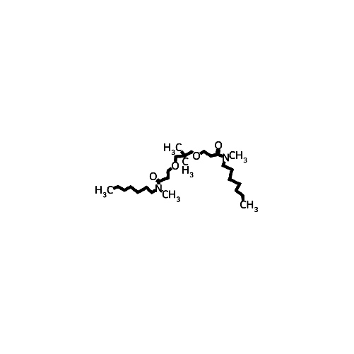 CCCCCCCN(C)C(=O)CCOCC(C)(C)COCCC(=O)N(C)CCCCCCC